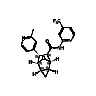 Cc1cc([C@H]2[C@H]3O[C@H]([C@@H]4C[C@@H]43)[C@@H]2C(=O)Nc2cccc(C(F)(F)F)c2)ccn1